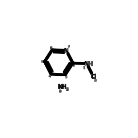 ClNc1ccccn1.N